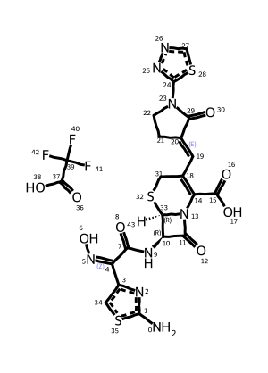 Nc1nc(/C(=N/O)C(=O)N[C@@H]2C(=O)N3C(C(=O)O)=C(/C=C4\CCN(c5nncs5)C4=O)CS[C@H]23)cs1.O=C(O)C(F)(F)F